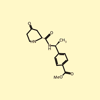 COC(=O)c1ccc([C@H](C)NC(=O)[C@H]2CC(=O)CCN2)cc1